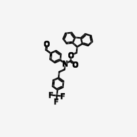 O=Cc1ccc(N(CCc2ccc(C(F)(F)F)cc2)C(=O)OCC2c3ccccc3-c3ccccc32)cc1